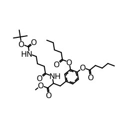 CCCCC(=O)Oc1ccc(CC(NC(=O)CCCNC(=O)OC(C)(C)C)C(=O)OC)cc1OC(=O)CCCC